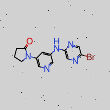 O=C1CCCN1c1cncc(Nc2cnc(Br)cn2)c1